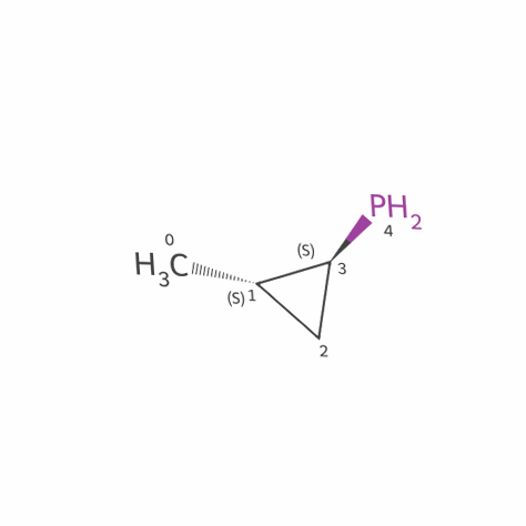 C[C@H]1C[C@@H]1P